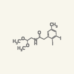 COC(CNC(=O)Cc1cc(C)cc(I)c1I)OC